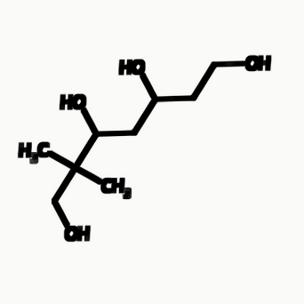 CC(C)(CO)C(O)CC(O)CCO